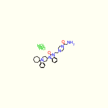 Cl.Cl.Cl.NCC(=O)N1CCN(CCn2c(=O)n(C3CCN(C4(c5ccccc5)CCCCCC4)CC3)c3ccccc32)CC1